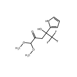 COC(OC)C(=O)CC(O)(c1ccc[nH]1)C(F)(F)F